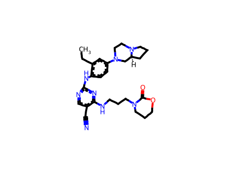 CCc1cc(N2CCN3CCC[C@H]3C2)ccc1Nc1ncc(C#N)c(NCCCN2CCCOC2=O)n1